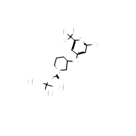 Cc1cc(OC2CCCN(C(=O)OC(C)(C)C)C2)cc(C(F)(F)F)n1